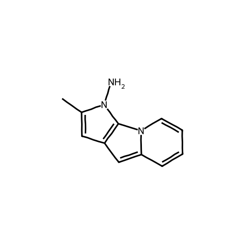 Cc1cc2cc3ccccn3c2n1N